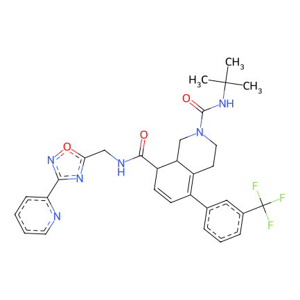 CC(C)(C)NC(=O)N1CCC2=C(c3cccc(C(F)(F)F)c3)C=CC(C(=O)NCc3nc(-c4ccccn4)no3)C2C1